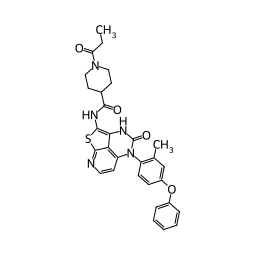 CCC(=O)N1CCC(C(=O)Nc2sc3nccc4c3c2NC(=O)N4c2ccc(Oc3ccccc3)cc2C)CC1